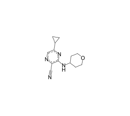 N#Cc1ncc(C2CC2)nc1NC1CCOCC1